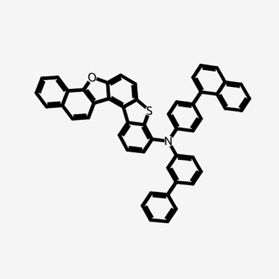 c1ccc(-c2cccc(N(c3ccc(-c4cccc5ccccc45)cc3)c3cccc4c3sc3ccc5oc6c7ccccc7ccc6c5c34)c2)cc1